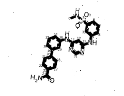 CNS(=O)(=O)c1cccc(Nc2cc(Nc3cccc(-c4ccc(C(N)=O)cc4)c3)ncn2)c1